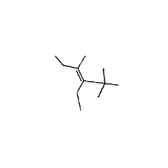 CC/C(C)=C(\CC)C(C)(C)C